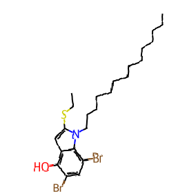 CCCCCCCCCCCCCCn1c(SCC)cc2c(O)c(Br)cc(Br)c21